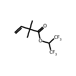 C=CC(C)(C)C(=O)OC(C(F)(F)F)C(F)(F)F